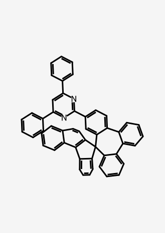 c1ccc(-c2cc(-c3ccccc3)nc(-c3ccc4c(c3)C3(c5ccccc5-c5ccccc5-4)c4ccccc4-c4c3ccc3ccccc43)n2)cc1